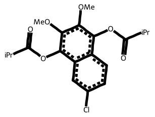 COc1c(OC)c(OC(=O)C(C)C)c2cc(Cl)ccc2c1OC(=O)C(C)C